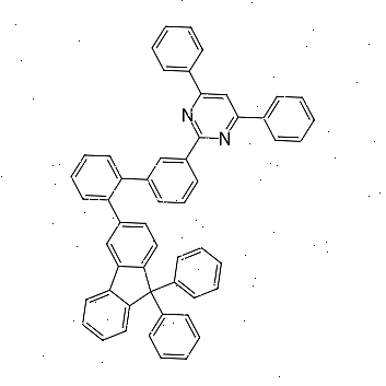 c1ccc(-c2cc(-c3ccccc3)nc(-c3cccc(-c4ccccc4-c4ccc5c(c4)-c4ccccc4C5(c4ccccc4)c4ccccc4)c3)n2)cc1